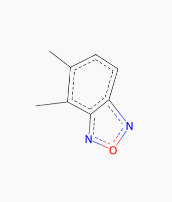 Cc1ccc2nonc2c1C